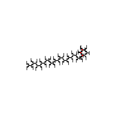 II(I)I(I)I(I)I(I)I(I)I(I)I(I)I(I)I(I)I(I)I(I)I(I)I(I)I(I)I(I)I(I)I(I)I(I)I(I)I(I)I(I)I(I)I(I)I(I)I(I)I(I)I(I)I(I)I(I)I(I)I(I)I(I)I(I)I